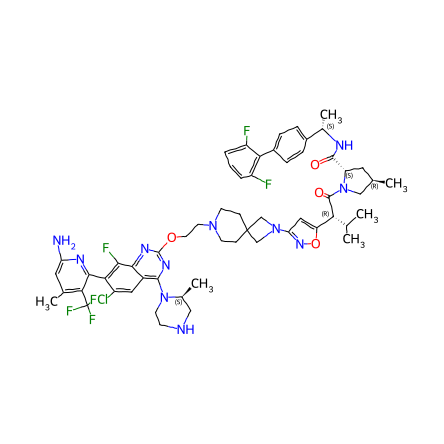 Cc1cc(N)nc(-c2c(Cl)cc3c(N4CCNC[C@@H]4C)nc(OCCN4CCC5(CC4)CN(c4cc([C@H](C(=O)N6C[C@H](C)C[C@H]6C(=O)N[C@@H](C)c6ccc(-c7c(F)cccc7F)cc6)C(C)C)on4)C5)nc3c2F)c1C(F)(F)F